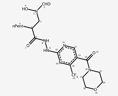 CCCCCC(CN(O)C=O)C(=O)NNc1ncc(C(=O)N2CCOCC2)c(C(F)(F)F)n1